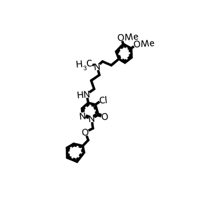 COc1ccc(CCN(C)CCCNc2cnn(COCc3ccccc3)c(=O)c2Cl)cc1OC